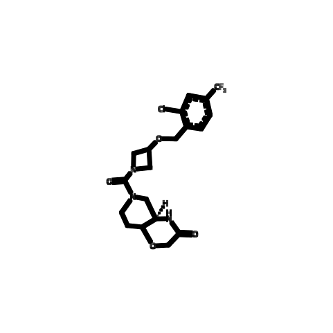 O=C1COC2CCN(C(=O)N3CC(OCc4ccc(C(F)(F)F)cc4Cl)C3)C[C@H]2N1